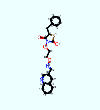 O=C1SC(Cc2ccccc2)C(=O)N1OCCO/N=C/c1cnc2ccccc2c1